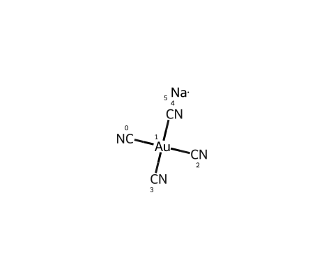 N#[C][Au]([C]#N)([C]#N)[C]#N.[Na]